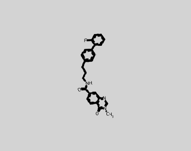 Cn1cnc2cc(C(=O)NCCCc3ccc(-c4ccccc4F)cc3)ccc2c1=O